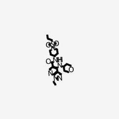 CCCS(=O)(=O)N1CCC(NC(=O)c2cnc3c(cnn3CC)c2NC2CCOCC2)CC1